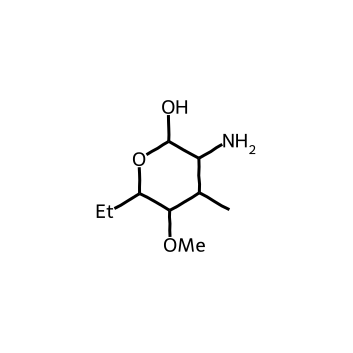 CCC1OC(O)C(N)C(C)C1OC